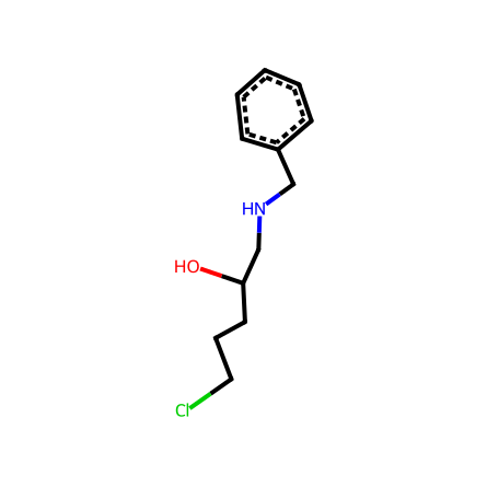 OC(CCCCl)CNCc1ccccc1